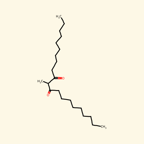 CCCCCCCCCC(=O)C(C)C(=O)CCCCCCCCC